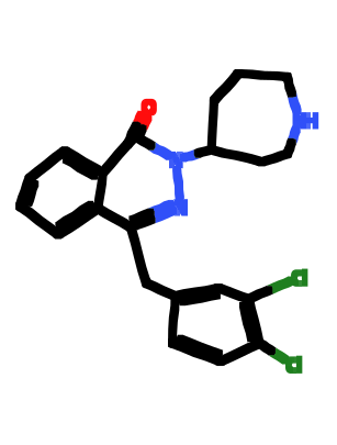 O=c1c2ccccc2c(Cc2ccc(Cl)c(Cl)c2)nn1C1CCCNCC1